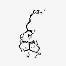 C[C@H]1CO[C@H]2[C@@H]1OC[C@@H]2OC(=O)CCCC(=O)O